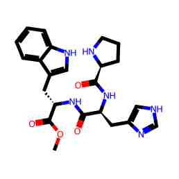 COC(=O)[C@H](Cc1c[nH]c2ccccc12)NC(=O)[C@H](Cc1c[nH]cn1)NC(=O)[C@@H]1CCCN1